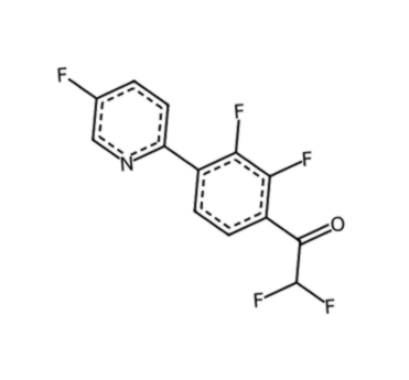 O=C(c1ccc(-c2ccc(F)cn2)c(F)c1F)C(F)F